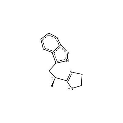 C[C@@H](Cc1nsc2ccccc12)C1=NCCN1